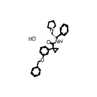 Cl.O=C(N[C@H](CN1CCCC1)c1ccccc1)C1(c2cccc(OCc3ccccc3)c2)CC1